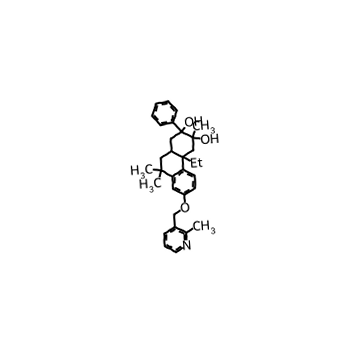 CCC12CC(C)(O)C(O)(c3ccccc3)CC1CC(C)(C)c1cc(OCc3cccnc3C)ccc12